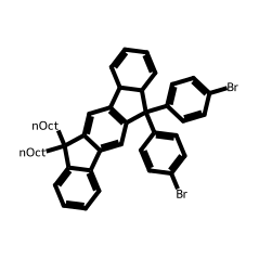 CCCCCCCCC1(CCCCCCCC)c2ccccc2-c2cc3c(cc21)C1C=CC=CC1C3(c1ccc(Br)cc1)c1ccc(Br)cc1